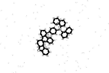 c1ccc2c(N(c3ccc(-c4cccc5c6ccc7oc8ccccc8c7c6c6ccccc6c45)cc3)c3cccc4ccccc34)cccc2c1